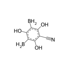 Bc1c(O)c(B)c(O)c(C#N)c1O